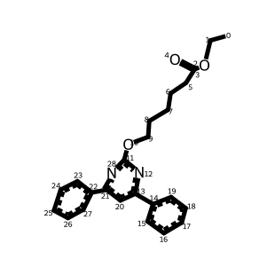 CCOC(=O)CCCCCOc1nc(-c2ccccc2)cc(-c2ccccc2)n1